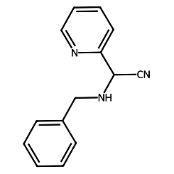 N#CC(NCc1ccccc1)c1ccccn1